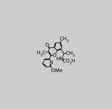 COc1cccc(-c2oc3c(C(C)NC(=O)O)cc(C)cc3c(=O)c2C)n1